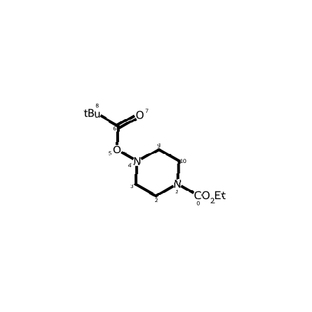 CCOC(=O)N1CCN(OC(=O)C(C)(C)C)CC1